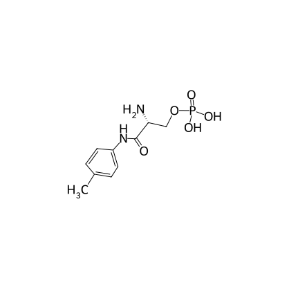 Cc1ccc(NC(=O)[C@H](N)COP(=O)(O)O)cc1